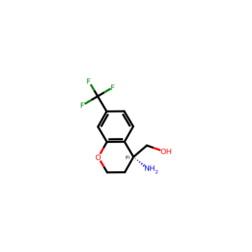 N[C@]1(CO)CCOc2cc(C(F)(F)F)ccc21